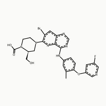 Cc1cc(Nc2ncnc3cc(Br)c(N4CCN(C(=O)O)[C@H](CO)C4)nc23)ccc1Oc1cncc(F)c1